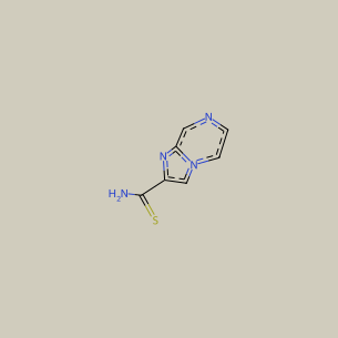 NC(=S)c1cn2ccncc2n1